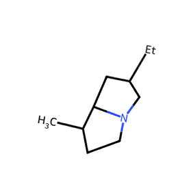 CCC1CC2C(C)CCN2C1